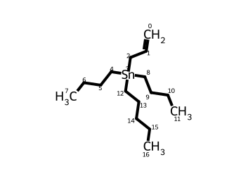 C=C[CH2][Sn]([CH2]CCC)([CH2]CCC)[CH2]CCCC